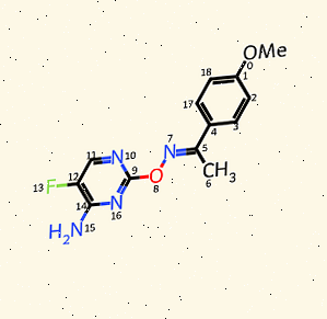 COc1ccc(/C(C)=N/Oc2ncc(F)c(N)n2)cc1